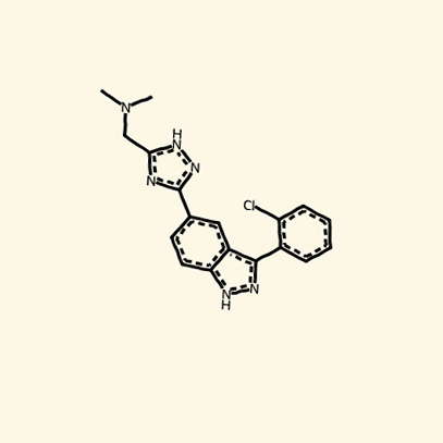 CN(C)Cc1nc(-c2ccc3[nH]nc(-c4ccccc4Cl)c3c2)n[nH]1